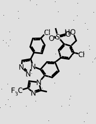 Cc1nc(C(F)(F)F)cn1-c1ccc(-c2cc(Cl)c(CO)c(S(C)(=O)=O)c2)cc1-n1nncc1-c1ccc(Cl)cc1